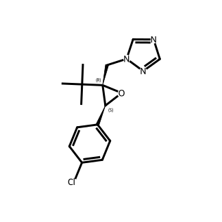 CC(C)(C)[C@]1(Cn2cncn2)O[C@H]1c1ccc(Cl)cc1